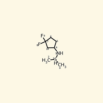 C[SH](C)NC1CCC(F)(F)C1